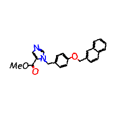 COC(=O)c1cncn1Cc1ccc(OCc2ccc3ccccc3c2)cc1